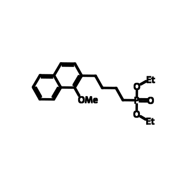 CCOP(=O)(CCCCc1ccc2ccccc2c1OC)OCC